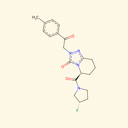 Cc1ccc(C(=O)Cn2nc3n(c2=O)[C@H](C(=O)N2CC[C@H](F)C2)CCC3)cc1